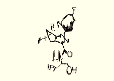 CC(C)[C@@H](CO)NC(=O)c1nn(-c2ccc(F)cn2)c2c1C[C@H]1C[C@@H]21